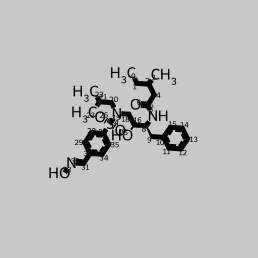 CCC(C)CC(=O)N[C@@H](Cc1ccccc1)[C@H](O)CN(CC(C)C)S(=O)(=O)c1ccc(/C=N/O)cc1